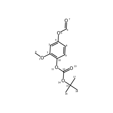 COc1cc(OC=O)ccc1OC(=O)OC(C)(C)C